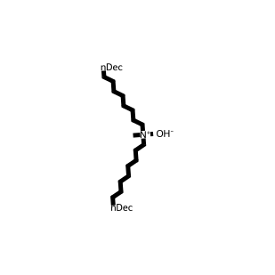 CCCCCCCCCCCCCCCCCC[N+](C)(C)CCCCCCCCCCCCCCCCCC.[OH-]